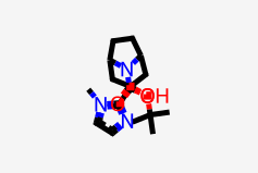 Cn1ccnc1C1(O)CC2CCC(C1)N2C(=O)OC(C)(C)C